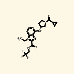 CCn1c(C(=O)NCC(F)(F)F)nc2c(N[C@H]3CCN(C(=O)C4CC4)C3)ncnc21